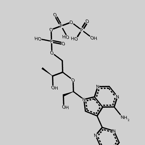 C[C@H](O)C(COP(=O)(O)OP(=O)(O)OP(=O)(O)O)O[C@H](CO)n1cc(-c2ncccn2)c2c(N)ncnc21